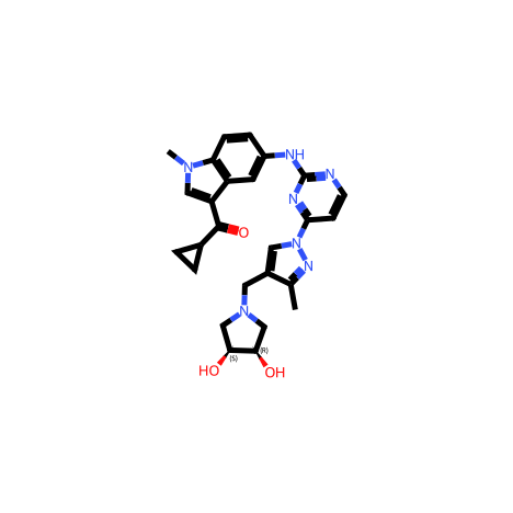 Cc1nn(-c2ccnc(Nc3ccc4c(c3)c(C(=O)C3CC3)cn4C)n2)cc1CN1C[C@@H](O)[C@@H](O)C1